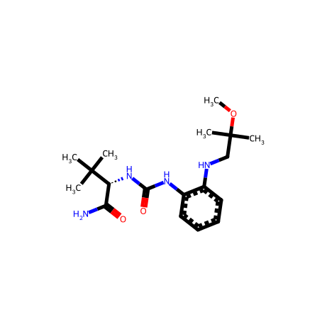 COC(C)(C)CNc1ccccc1NC(=O)N[C@H](C(N)=O)C(C)(C)C